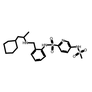 CC(CC1CCCCC1)NCc1ccccc1NS(=O)(=O)c1ccc(NS(C)(=O)=O)cn1